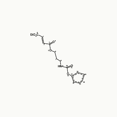 CCOC(=O)/C=C/C(=O)OCCCNC(=O)Oc1ccccc1